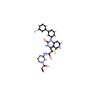 C=CC(=O)N1CCC[C@@H](NC(=O)c2sc3nccc4c3c2NC(=O)N4c2cccc(-c3cccc(F)c3)c2)C1